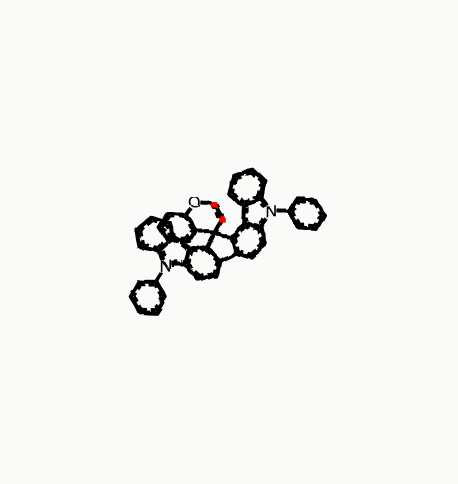 c1ccc(-n2c3ccccc3c3c4c(ccc32)-c2ccc3c(c2C42c4ccccc4Oc4ccccc42)c2ccccc2n3-c2ccccc2)cc1